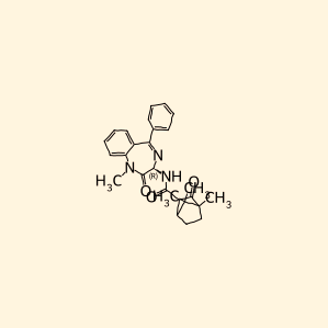 CN1C(=O)[C@H](NC(=O)C2C(=O)C3(C)CCC2C3(C)C)N=C(c2ccccc2)c2ccccc21